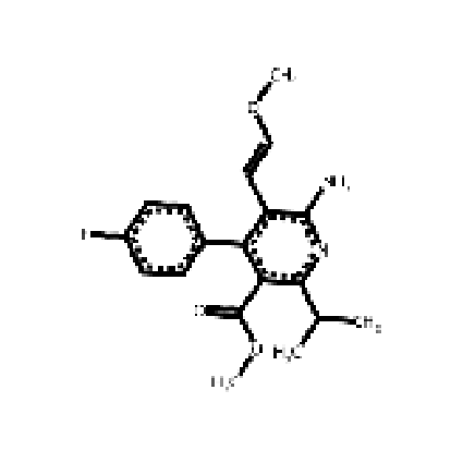 COC=Cc1c(N)nc(C(C)C)c(C(=O)OC)c1-c1ccc(F)cc1